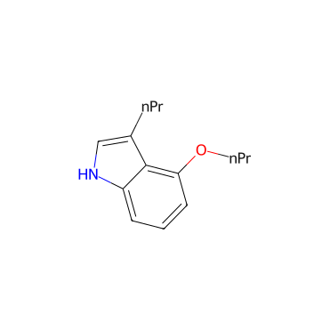 CCCOc1cccc2[nH]cc(CCC)c12